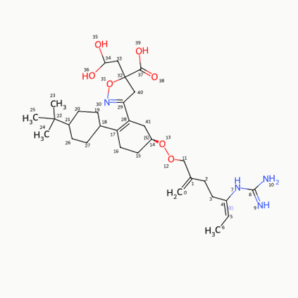 C=C(CC/C(=C\C)NC(=N)N)COO[C@H]1CCC(C2CCC(C(C)(C)C)CC2)=C(C2=NOC(CC(O)O)(C(=O)O)C2)C1